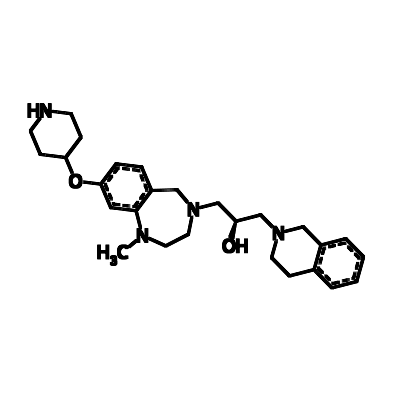 CN1CCN(C[C@H](O)CN2CCc3ccccc3C2)Cc2ccc(OC3CCNCC3)cc21